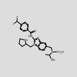 CC(N(Cc1ccc2c(c1)nc(NC(=O)c1ccc(C(F)F)cc1)n2CC1CCCN1)C(=O)O)C(C)(C)C